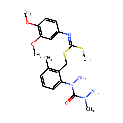 COc1ccc(/N=C(/SC)SCc2c(C)cccc2N(N)C(=O)N(C)N)cc1OC